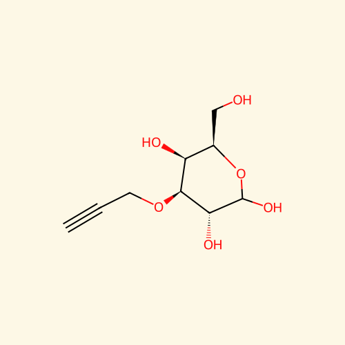 C#CCO[C@H]1[C@@H](O)[C@@H](CO)OC(O)[C@@H]1O